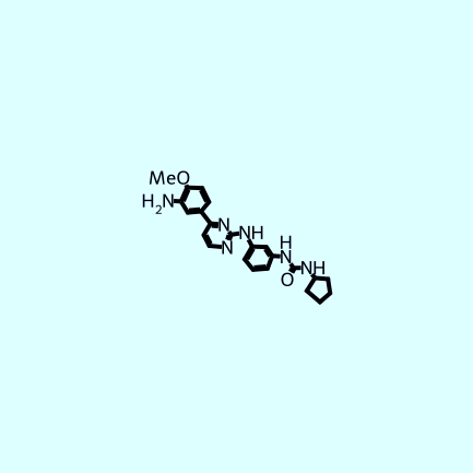 COc1ccc(-c2ccnc(Nc3cccc(NC(=O)NC4CCCC4)c3)n2)cc1N